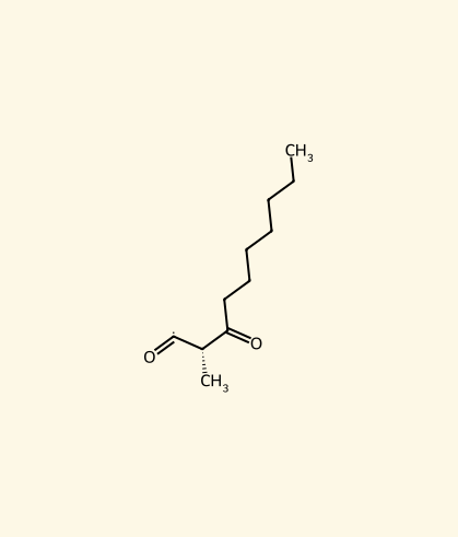 CCCCCCCC(=O)[C@H](C)[C]=O